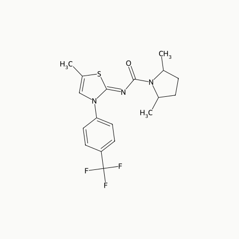 Cc1cn(-c2ccc(C(F)(F)F)cc2)c(=NC(=O)N2C(C)CCC2C)s1